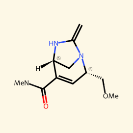 C=C1N[C@@H]2CN1[C@H](COC)C=C2C(=O)NC